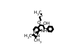 CSCCO[C@@H]1c2ccn3c(C)c(C)nc3c2N[C@H](c2ccccc2)[C@H]1O